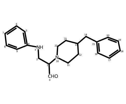 O=CC(CNc1ccccc1)N1CCC(Cc2ccccc2)CC1